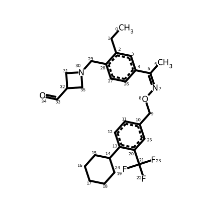 CCc1cc(/C(C)=N\OCc2ccc(C3CCCCC3)c(C(F)(F)F)c2)ccc1CN1CC(C=O)C1